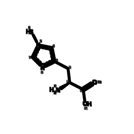 N[C@@H](Cc1cn(S)cn1)C(=O)O